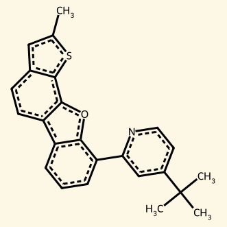 Cc1cc2ccc3c4cccc(-c5cc(C(C)(C)C)ccn5)c4oc3c2s1